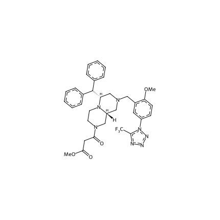 COC(=O)CC(=O)N1CCN2[C@H](CN(Cc3cc(-n4nnnc4C(F)(F)F)ccc3OC)C[C@H]2C(c2ccccc2)c2ccccc2)C1